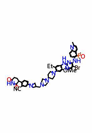 CCc1cc(Nc2ncc(Br)c(Nc3ccc4nc(C)ccc4c3P(C)(C)=O)n2)c(OC)cc1N1CCC(N2CCN(CC3CN(c4ccc(C5CCC(=O)NC5=O)c(C#N)c4)C3)CC2)CC1